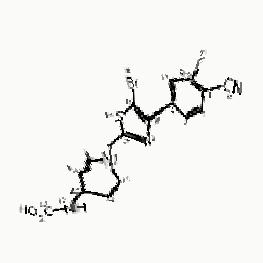 N#Cc1ccc(-c2nc(N3CCC(NC(=O)O)CC3)sc2Br)cc1F